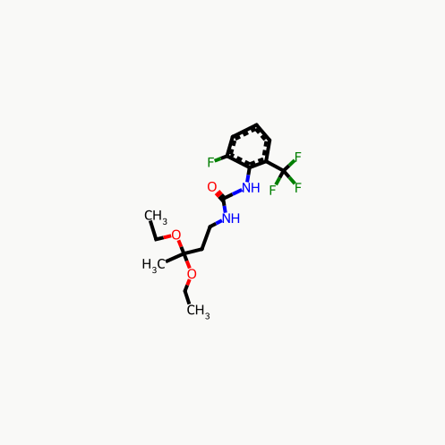 CCOC(C)(CCNC(=O)Nc1c(F)cccc1C(F)(F)F)OCC